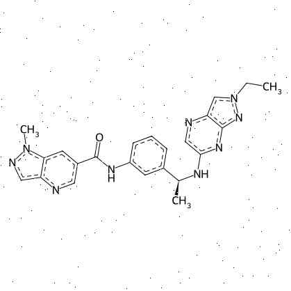 CCn1cc2ncc(N[C@@H](C)c3cccc(NC(=O)c4cnc5cnn(C)c5c4)c3)nc2n1